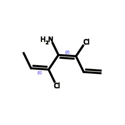 C=C/C(Cl)=C(N)\C(Cl)=C/C